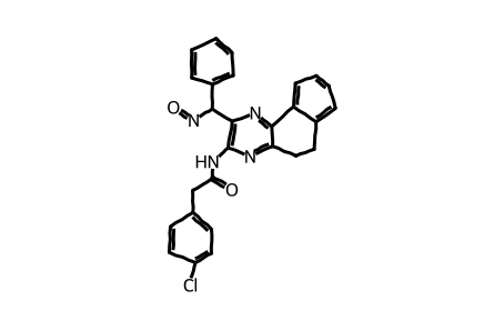 O=NC(c1ccccc1)c1nc2c(nc1NC(=O)Cc1ccc(Cl)cc1)CCc1ccccc1-2